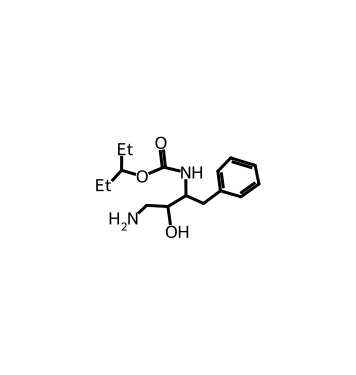 CCC(CC)OC(=O)NC(Cc1ccccc1)C(O)CN